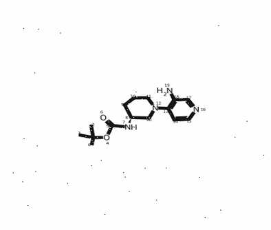 CC(C)(C)OC(=O)N[C@@H]1CCCN(c2ccncc2N)C1